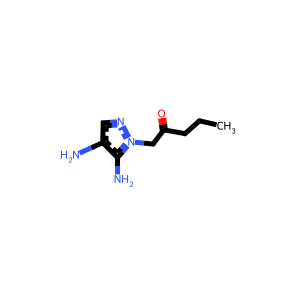 CCCC(=O)Cn1ncc(N)c1N